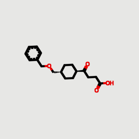 O=C(O)CCC(=O)[C@H]1CC[C@H](COCc2ccccc2)CC1